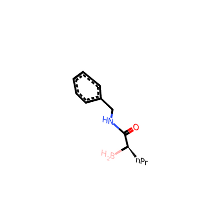 B[C@H](CCC)C(=O)NCc1ccccc1